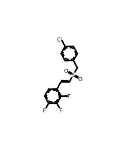 O=S(=O)(C=Cc1ccc(F)c(F)c1F)Cc1ccc(Cl)cc1